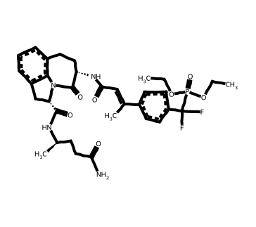 CCOP(=O)(OCC)C(F)(F)c1ccc(/C(C)=C/C(=O)N[C@H]2CCc3cccc4c3N(C2=O)[C@H](C(=O)N[C@H](C)CCC(N)=O)C4)cc1